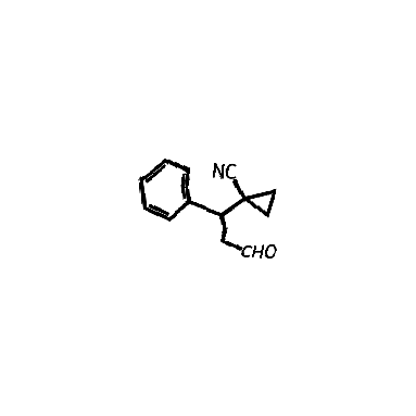 N#CC1(C(CC=O)c2ccccc2)CC1